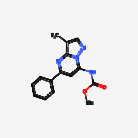 CC(C)(C)OC(=O)Nc1cc(-c2ccccc2)nc2c(C(F)(F)F)cnn12